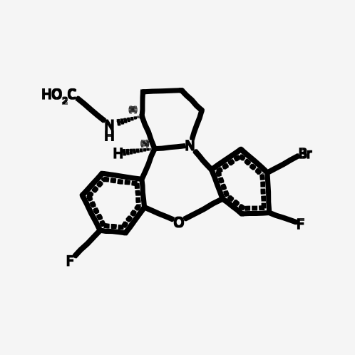 O=C(O)N[C@@H]1CCCN2c3cc(Br)c(F)cc3Oc3cc(F)ccc3[C@@H]12